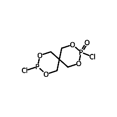 O=P1(Cl)OCC2(COP(Cl)OC2)CO1